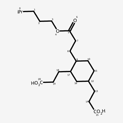 CC(C)CCCOC(=O)CCC1CCC(CCC(=O)O)CC1CCC(=O)O